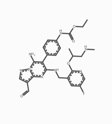 CCOC(=O)Nc1ccc(-c2c(NCc3cc(F)cnc3OC(C)CNC)nc3c(C=O)cnn3c2N)cc1